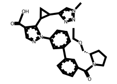 CCOC[C@@H]1CCCN1C(=O)c1cccc(-c2cccc(-n3ncc(C(=O)O)c3C3CC3c3cn(C)nn3)c2)c1